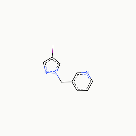 Ic1cnn(Cc2cccnc2)c1